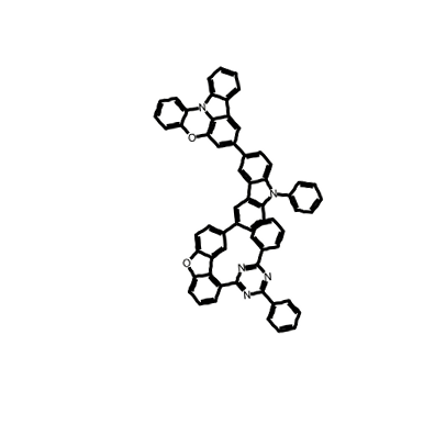 c1ccc(-c2nc(-c3ccccc3)nc(-c3cccc4oc5ccc(-c6ccc7c(c6)c6cc(-c8cc9c%10c(c8)c8ccccc8n%10-c8ccccc8O9)ccc6n7-c6ccccc6)cc5c34)n2)cc1